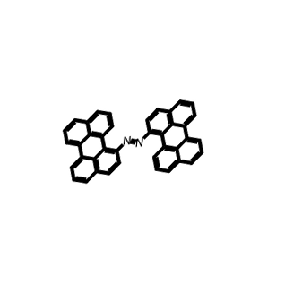 c1cc2cccc3c4c(N=Nc5ccc6cccc7c8cccc9cccc(c5c67)c98)ccc5cccc(c(c1)c23)c54